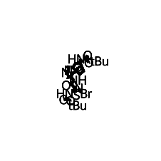 Cn1ncc(NC(=O)c2nc(Br)sc2NC(=O)OC(C)(C)C)c1C12CCC(NC(=O)OC(C)(C)C)C(CC1)O2